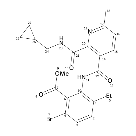 CCc1ccc(Br)c(C(=O)OC)c1NC(=O)c1ccc(C)nc1C(=O)NCC1CC1